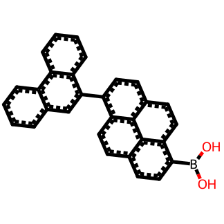 OB(O)c1ccc2ccc3c(-c4cc5ccccc5c5ccccc45)ccc4ccc1c2c43